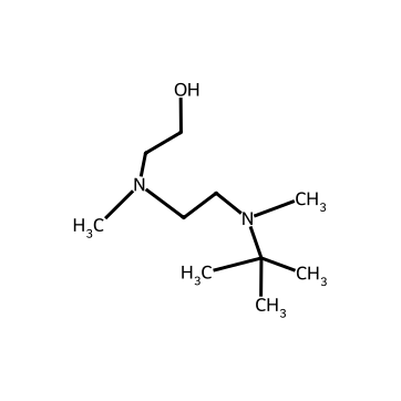 CN(CCO)CCN(C)C(C)(C)C